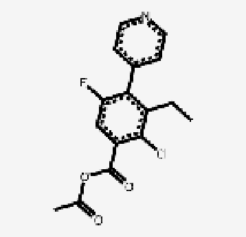 CCc1c(Cl)c(C(=O)OC(C)=O)cc(F)c1-c1ccncc1